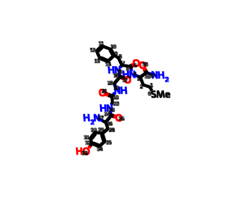 CSCCC(NC(=O)C(Cc1ccccc1)NC(=O)CNC(=O)CNC(=O)C(N)Cc1ccc(O)cc1)C(N)=O